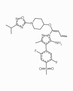 C=C/C=C(/OC1CCN(c2nc(C(C)C)no2)CC1)n1nc(C)c(-c2cc(F)c(S(C)(=O)=O)cc2F)c1N